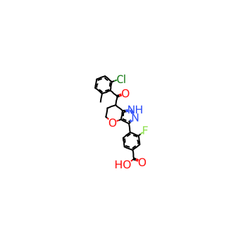 Cc1cccc(Cl)c1C(=O)C1CCOc2c(-c3ccc(C(=O)O)cc3F)n[nH]c21